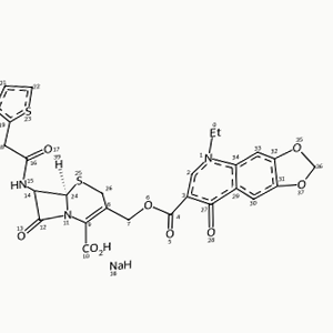 CCn1cc(C(=O)OCC2=C(C(=O)O)N3C(=O)C(NC(=O)Cc4cccs4)[C@H]3SC2)c(=O)c2cc3c(cc21)OCO3.[NaH]